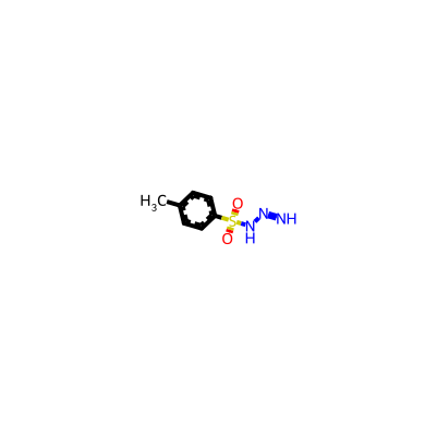 Cc1ccc(S(=O)(=O)NN=N)cc1